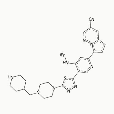 CC(C)Nc1cc(-c2ccc3cc(C#N)cnn23)ncc1-c1nnc(N2CCN(CC3CCNCC3)CC2)s1